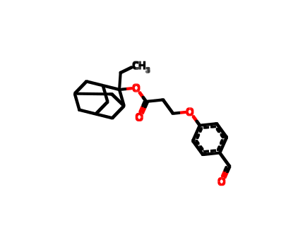 CCC1(OC(=O)CCOc2ccc(C=O)cc2)C2CC3CC(C2)CC1C3